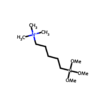 CO[Si](CCCCC[N+](C)(C)C)(OC)OC